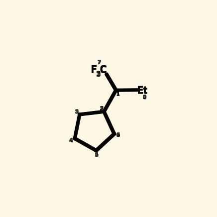 CCC(C1CCCC1)C(F)(F)F